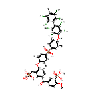 COc1ccc(C(=O)c2ccc(Oc3c(C)cc(S(=O)(=O)c4cc(C)c(Oc5c(F)c(F)c(-c6c(F)c(F)c(C)c(F)c6F)c(F)c5F)c(C)c4)cc3C)c(CS(=O)(=O)O)c2)cc1S(=O)(=O)OC